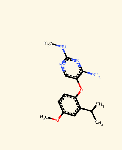 CNc1ncc(Oc2ccc(OC)cc2C(C)C)c(N)n1